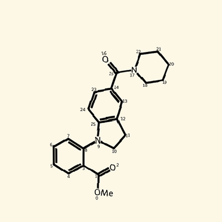 COC(=O)c1ccccc1N1CCc2cc(C(=O)N3CCCCC3)ccc21